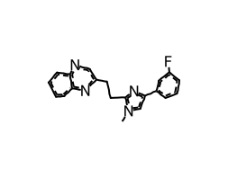 Cn1cc(-c2cccc(F)c2)nc1CCc1cnc2ccccc2n1